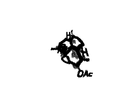 CC(=O)O[C@@H]1O[C@@H]2O[C@@]3(C)CC[C@H]4[C@H](C)CC[C@@H]([C@H]1C)[C@@]24OO3